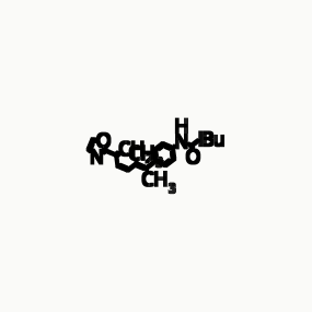 C=C(/C=C\C(C)=C(/C)c1ccc(NC(=O)C(C)CC)cc1)c1ncco1